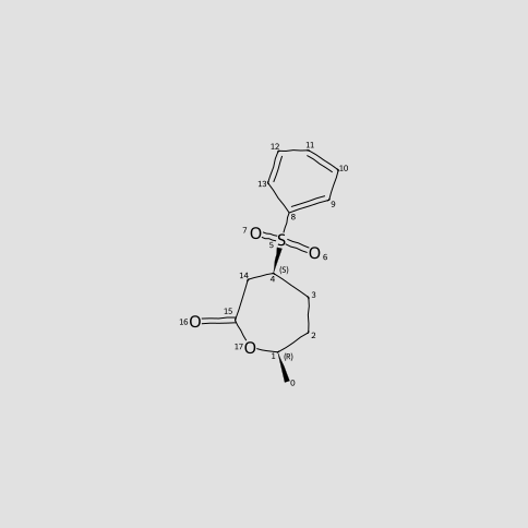 C[C@@H]1CC[C@H](S(=O)(=O)c2ccccc2)CC(=O)O1